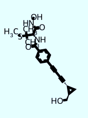 CSC(C)(C)[C@H](NC(=O)c1ccc(C#CC#C[C@@H]2C[C@H]2CO)cc1)C(=O)NO